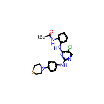 CC(C)(C)C(=O)Nc1ccccc1Nc1nc(Nc2ccc(N3CCSCC3)cc2)ncc1Cl